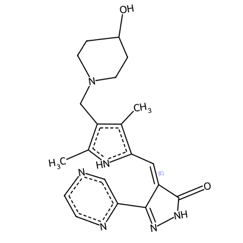 Cc1[nH]c(/C=C2/C(=O)NN=C2c2cnccn2)c(C)c1CN1CCC(O)CC1